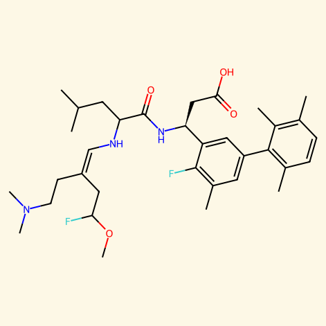 COC(F)C/C(=C\NC(CC(C)C)C(=O)N[C@@H](CC(=O)O)c1cc(-c2c(C)ccc(C)c2C)cc(C)c1F)CCN(C)C